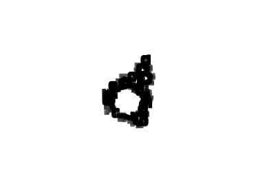 C[C@@H]1[C@@H](C)C/C=C/CN2CCOC[C@H]2CO[C@@H]2CC[C@H]2CN2C[C@@]3(CCCc4cc(Cl)ccc43)COc3ccc(cc32)C(=O)NS1(=O)=O